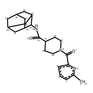 Cc1cccc(C(=O)N2CCC(C(=O)NC3C4CC5CC(C4)CC3C5)CC2)n1